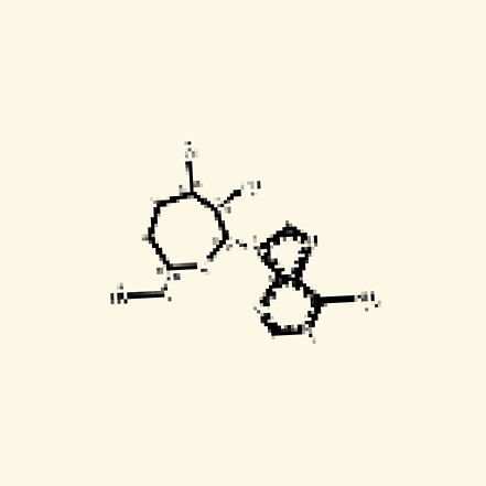 Nc1ncnc2c1ncn2[C@@H]1O[C@H](CO)CC[C@@H](O)[C@H]1O